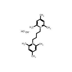 Cc1cc(C)[n+](CCCC[n+]2c(C)cc(C)cc2C)c(C)c1.[OH-].[OH-]